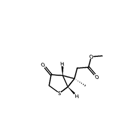 COC(=O)C[C@@]1(C)[C@@H]2SCC(=O)[C@@H]21